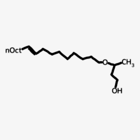 CCCCCCCCC=CCCCCCCCCOC(C)CCO